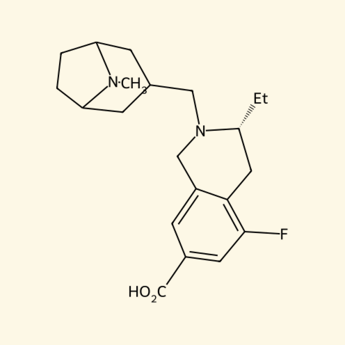 CC[C@@H]1Cc2c(F)cc(C(=O)O)cc2CN1CC1CC2CCC(C1)N2C